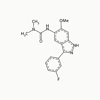 COc1cc2[nH]nc(-c3cccc(F)c3)c2cc1NC(=O)N(C)C